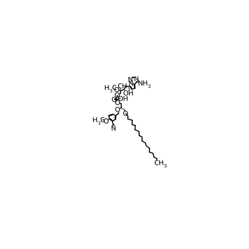 CCCCCCCCCCCCCCCCCCOC[C@H](COP(=O)(O)OC[C@@](C)(OC)[C@@H](O)Cc1ccc2c(N)ncnn12)OCc1ccc(OC)c(C#N)c1